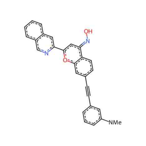 CNc1cccc(C#Cc2ccc3/c(=N/O)cc(-c4cc5ccccc5cn4)oc3c2)c1